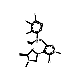 CN1C[C@H](c2c(Br)nn(C)c2Cl)[C@@H](C(=O)Nc2ccc(F)c(F)c2F)C1=S